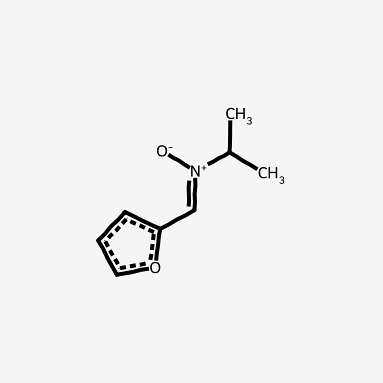 CC(C)/[N+]([O-])=C/c1ccco1